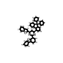 c1ccc(C2(c3ccccc3)c3ccccc3-c3c(-c4cc(-c5cc6ccccc6o5)nc(-c5cccc6c5oc5ccccc56)n4)cccc32)cc1